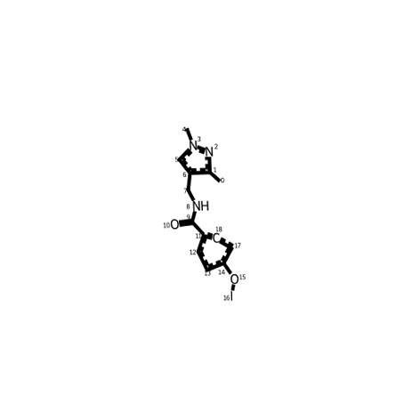 Cc1nn(C)cc1CNC(=O)c1ccc(OI)cc1